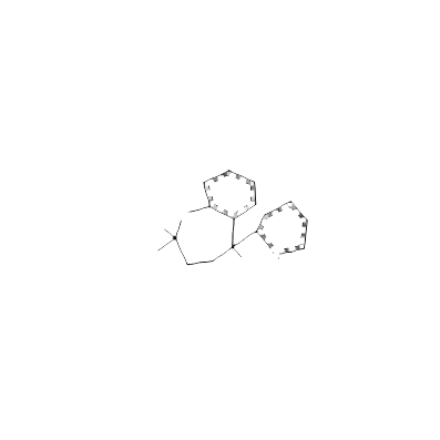 CC1(C)CCC(O)(c2ccccn2)c2ccccc2O1